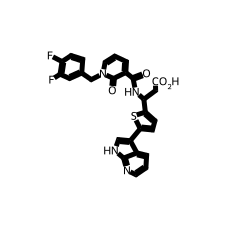 O=C(O)CC(NC(=O)c1cccn(Cc2ccc(F)c(F)c2)c1=O)c1ccc(-c2c[nH]c3ncccc23)s1